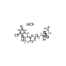 Cl.NC1CCc2ccc(OCCNS(=O)(=O)CC3CC3)cc2C1Cc1cc(F)cc(Cl)c1